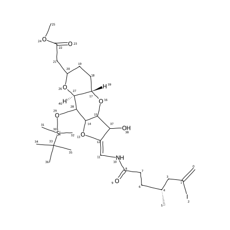 C=C(I)C[C@H](C)CCC(=O)N/C=C1/OC2C(O[C@H]3CCC(CC(=O)OC)O[C@@H]3C2O[Si](C)(C)C(C)(C)C)C1O